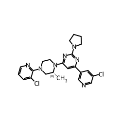 C[C@@H]1CN(c2ncccc2Cl)CCN1c1cc(-c2cncc(Cl)c2)nc(N2CCCC2)n1